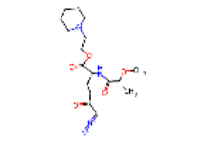 CO[C@H](C)C(=O)N[C@@H](CCC(=O)C=[N+]=[N-])C(=O)OCCN1CCCCC1